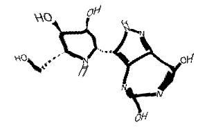 OC[C@H]1N[C@@H](c2[nH]nc3c(O)nc(O)nc23)[C@H](O)[C@@H]1O